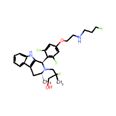 C[C@@H]1Cc2c([nH]c3ccccc23)[C@@H](c2c(F)cc(OCCNCCCF)cc2F)N1CC(C)(F)CO